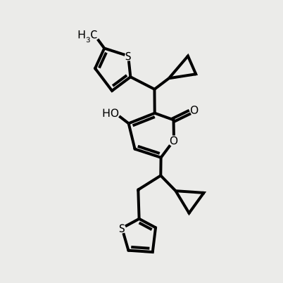 Cc1ccc(C(c2c(O)cc(C(Cc3cccs3)C3CC3)oc2=O)C2CC2)s1